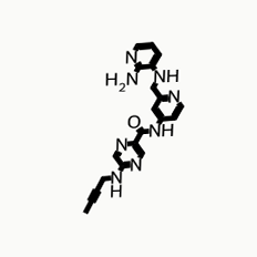 CC#CCNc1cnc(C(=O)Nc2ccnc(CNc3cccnc3N)c2)cn1